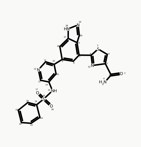 NC(=O)c1csc(-c2cc(-c3cncc(NS(=O)(=O)c4ccccc4)c3)cc3[nH]ncc23)n1